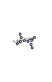 CC1(C)c2ccccc2-c2ccc(N(c3ccc(-c4ccccc4)cc3)c3ccc(-c4ccc5c(c4)C(C)(C)c4cc(-c6ccccc6)ccc4N5c4ccc(-c5ccccc5)cc4)cc3)cc21